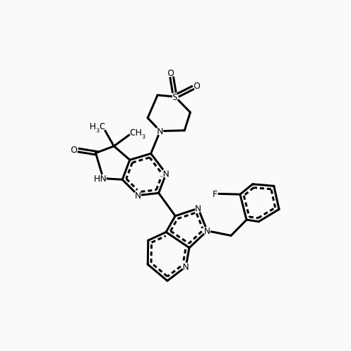 CC1(C)C(=O)Nc2nc(-c3nn(Cc4ccccc4F)c4ncccc34)nc(N3CCS(=O)(=O)CC3)c21